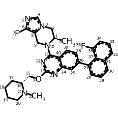 C[C@@H]1Cn2cnc(F)c2CN1c1nc(OC[C@H]2CCCCN2C)nc2cc(-c3cccc4cccc(F)c34)ccc12